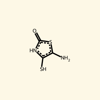 Nc1sc(=O)[nH]c1S